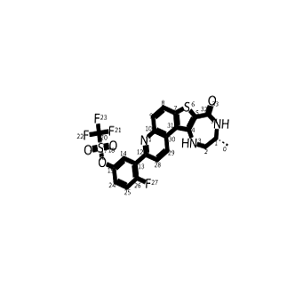 C[C@@H]1CNc2c(sc3ccc4nc(-c5cc(OS(=O)(=O)C(F)(F)F)ccc5F)ccc4c23)C(=O)N1